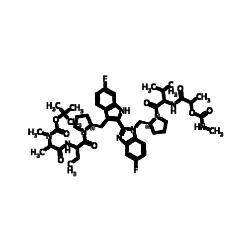 CCC(NC(=O)C(C)N(C)C(=O)OC(C)(C)C)C(=O)N1CCC[C@H]1Cc1c(-c2nc3cc(F)ccc3n2C[C@@H]2CCCN2C(=O)C(NC(=O)C(C)OC(=O)NC)C(C)C)[nH]c2cc(F)ccc12